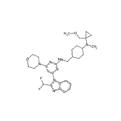 COCC1(N(C)C2CCC(CNc3nc(N4CCOCC4)cc(-n4c(C(F)F)nc5ccccc54)n3)CC2)CC1